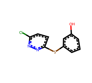 Oc1cccc(Sc2ccc(Cl)nn2)c1